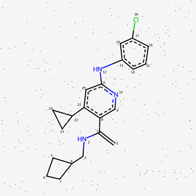 C=C(NCC1CCC1)c1cnc(Nc2cccc(Cl)c2)cc1C1CC1